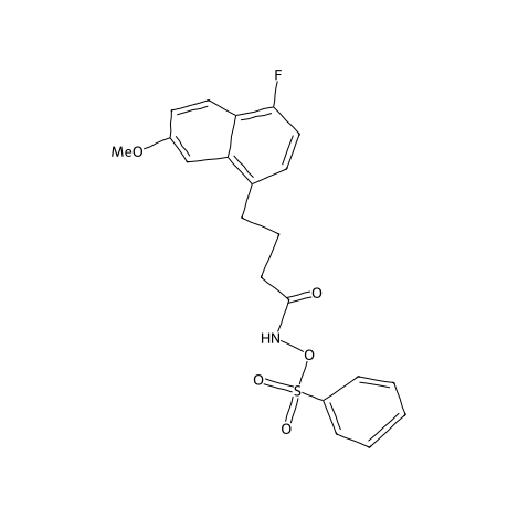 COc1ccc2c(F)ccc(CCCC(=O)NOS(=O)(=O)c3ccccc3)c2c1